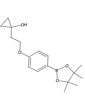 CC1(C)OB(c2ccc(OCCC3(O)CC3)cc2)OC1(C)C